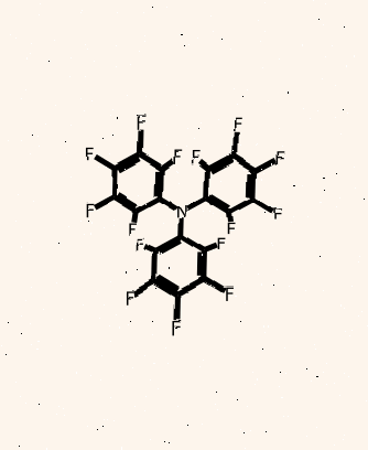 Fc1c(F)c(F)c(N(c2c(F)c(F)c(F)c(F)c2F)c2c(F)c(F)c(F)c(F)c2F)c(F)c1F